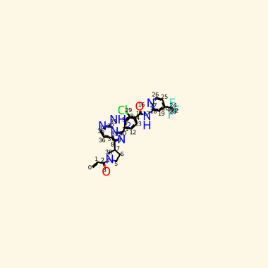 C=CC(=O)N1CCC(c2nc(-c3ccc(C(=O)Nc4cc(C(F)(F)F)ccn4)c(Cl)c3)n3c(N)nccc23)C1